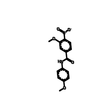 COc1ccc(NC(=O)c2ccc([N+](=O)[O-])c(OC)c2)cc1